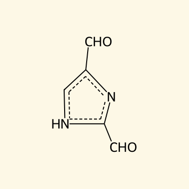 O=Cc1c[nH]c(C=O)n1